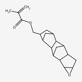 C=C(C)C(=O)OCC1CC2CC1C1C3CC(C4CC5OC5C43)C21